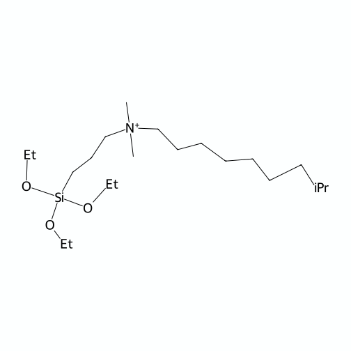 CCO[Si](CCC[N+](C)(C)CCCCCCCC(C)C)(OCC)OCC